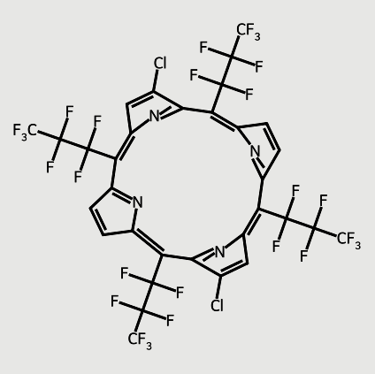 FC(F)(F)C(F)(F)C(F)(F)C1=C2C=C(Cl)C(=N2)C(C(F)(F)C(F)(F)C(F)(F)F)=C2C=CC(=N2)C(C(F)(F)C(F)(F)C(F)(F)F)=C2C=C(Cl)C(=N2)C(C(F)(F)C(F)(F)C(F)(F)F)=C2C=CC1=N2